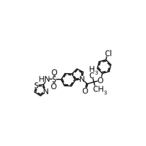 CC(C)(Oc1ccc(Cl)cc1)C(=O)n1ccc2cc(S(=O)(=O)Nc3nccs3)ccc21